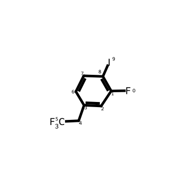 Fc1cc(CC(F)(F)F)ccc1I